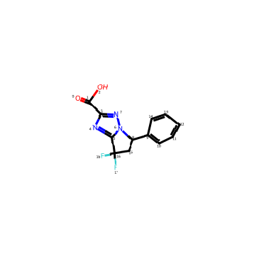 O=C(O)c1nc2n(n1)C(c1ccccc1)CC2(F)F